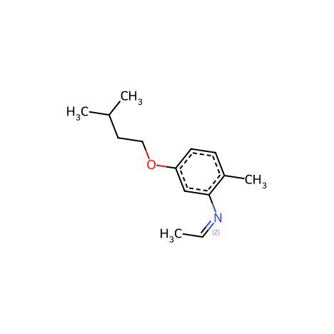 C/C=N\c1cc(OCCC(C)C)ccc1C